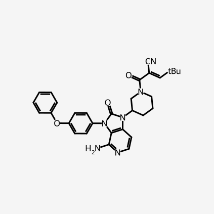 CC(C)(C)C=C(C#N)C(=O)N1CCCC(n2c(=O)n(-c3ccc(Oc4ccccc4)cc3)c3c(N)nccc32)C1